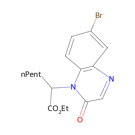 CCCCCC(C(=O)OCC)n1c(=O)cnc2cc(Br)ccc21